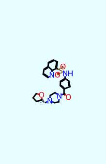 O=C(c1ccc(NS(=O)(=O)c2cccc3cccnc23)cc1)N1CCN(C[C@@H]2CCCO2)CC1